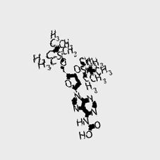 CC(C)(C)[Si](C)(C)OC[C@H]1O[C@@H](n2cnc3c(NC(=O)O)ncnc32)C[C@@H]1O[Si](C)(C)C(C)(C)C